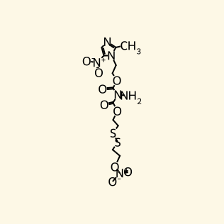 Cc1ncc([N+](=O)[O-])n1CCOC(=O)N(N)C(=O)OCCSSCCO[N+](=O)[O-]